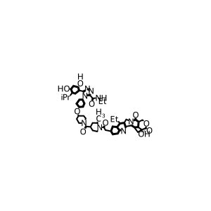 CCNC(=O)c1nnc(-c2cc(C(C)C)c(O)cc2O)n1-c1ccc(OC2CCN(C(=O)C3CCN(C(=O)Cc4ccc5nc6c(c(CC)c5c4)Cn4c-6c5c6c(c4=O)COC(=O)[C@]6(O)C5)C(C)C3)CC2)cc1